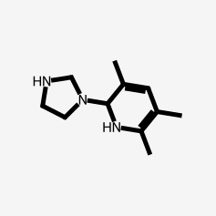 CC1=CC(C)=C(C)NC1N1CCNC1